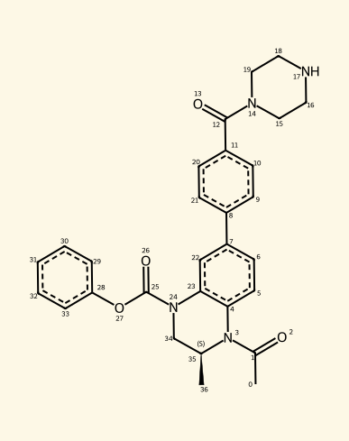 CC(=O)N1c2ccc(-c3ccc(C(=O)N4CCNCC4)cc3)cc2N(C(=O)Oc2ccccc2)C[C@@H]1C